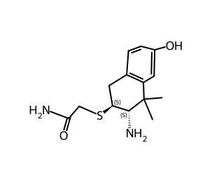 CC1(C)c2cc(O)ccc2C[C@H](SCC(N)=O)[C@H]1N